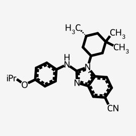 CC(C)Oc1ccc(Nc2nc3cc(C#N)ccc3n2C2C[C@H](C)CC(C)(C)C2)cc1